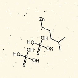 CC(C)CC[CH2][Zn].OP(O)(O)=S.OP(O)(O)=S